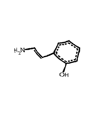 NC=Cc1ccccc1O